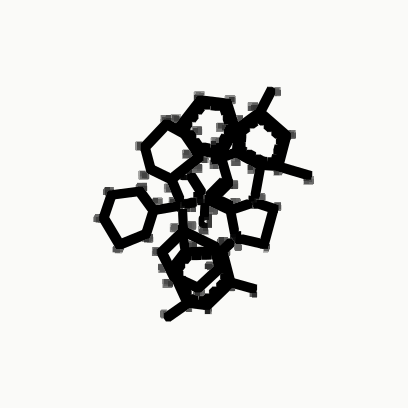 Cc1cc(C)c(N2CCN(c3c(C)cc(C)cc3C)[C]2=[Ru]([Cl])([Cl])(=[CH]c2ccccc2)[PH](C2CCCCC2)(C2CCCCC2)C2CCCCC2)c(C)c1